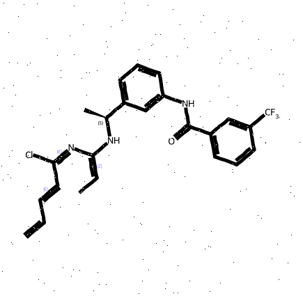 C=C/C=C/C(Cl)=N\C(=C/C)N[C@@H](C)c1cccc(NC(=O)c2cccc(C(F)(F)F)c2)c1